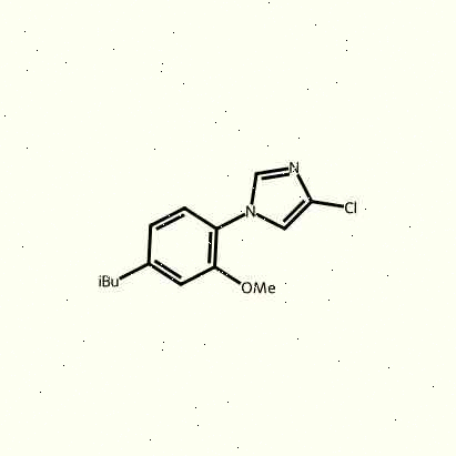 CCC(C)c1ccc(-n2cnc(Cl)c2)c(OC)c1